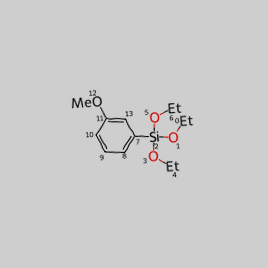 CCO[Si](OCC)(OCC)c1cccc(OC)c1